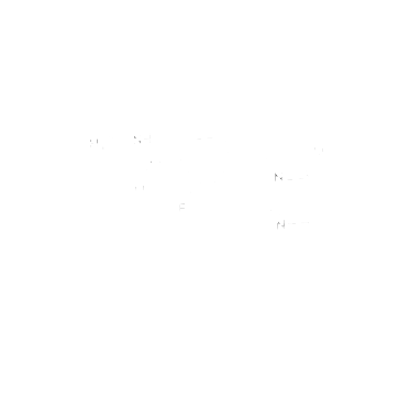 CNC(=O)c1ccc(Cn2cnccc2=O)cc1F